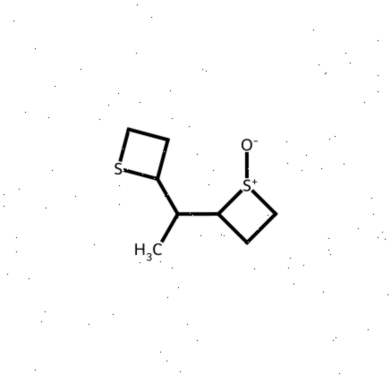 C[C](C1CCS1)C1CC[S+]1[O-]